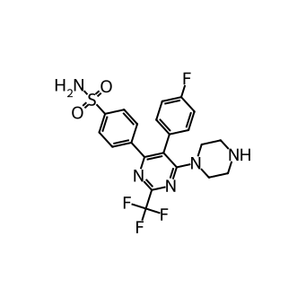 NS(=O)(=O)c1ccc(-c2nc(C(F)(F)F)nc(N3CCNCC3)c2-c2ccc(F)cc2)cc1